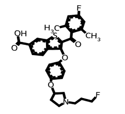 Cc1cc(F)cc(C)c1C(=O)c1sc2cc(C(=O)O)ccc2c1Oc1ccc(OC2CCN(CCCF)C2)cc1